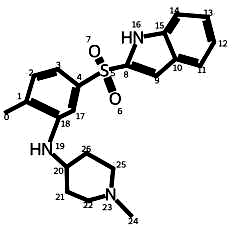 Cc1ccc(S(=O)(=O)c2cc3ccccc3[nH]2)cc1NC1CCN(C)CC1